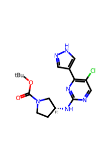 CC(C)(C)OC(=O)N1CC[C@@H](Nc2ncc(Cl)c(-c3cn[nH]c3)n2)C1